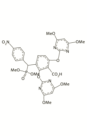 COc1cc(OC)nc(Oc2ccc(C(c3ccc([N+](=O)[O-])cc3)P(=O)(OC)OC)c(Oc3nc(OC)cc(OC)n3)c2C(=O)O)n1